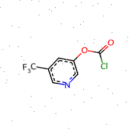 O=C(Cl)Oc1cncc(C(F)(F)F)c1